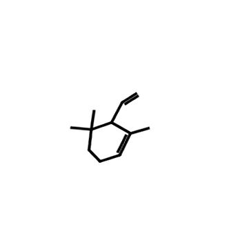 C=CC1C(C)=CCCC1(C)C